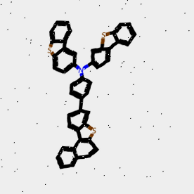 c1ccc2c(c1)ccc1sc3cc(-c4ccc(N(c5ccc6c(c5)sc5ccccc56)c5ccc6sc7ccccc7c6c5)cc4)ccc3c12